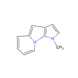 Cn1ccc2cc3ccccn3c21